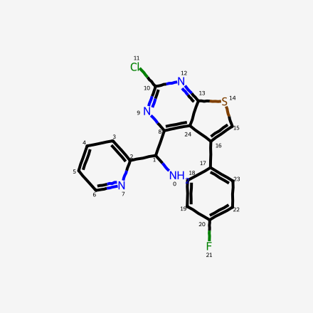 NC(c1ccccn1)c1nc(Cl)nc2scc(-c3ccc(F)cc3)c12